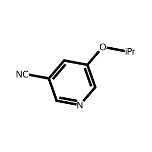 CC(C)Oc1cncc(C#N)c1